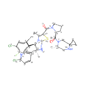 Cc1cc(Cl)c(F)cc1[C@H]1N2C(=N[C@@]1(C)c1ccc(Cl)nc1)SC(C(=O)N1CCC[C@H]1C(=O)N1CC3(CC3)NC[C@@H]1C)=C2C(C)C